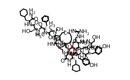 C[C@@H](C(=O)N(C)[C@@H](Cc1ccccc1)C(=O)N[C@@H](CO)C(=O)N[C@@H](CC1CCCCC1)C(N)=O)N(C)C(=O)C12CCCCCCC(C[C@H](NC(=O)[C@H](CC3CCCCC3)NC(=O)[C@H](CCCNC(=N)N)NC(=O)[C@H](CCCNC(=N)N)NC(=O)[C@H](Cc3ccc(O)cc3)NC(=O)[C@H](Cc3ccc(O)cc3)NC(=O)[C@@H](N)CO)C(=O)N[C@H](CCC(=O)O)C(N)=O)(CCCCC1)SC2